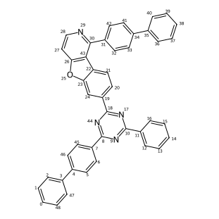 c1ccc(-c2ccc(-c3nc(-c4ccccc4)nc(-c4ccc5c(c4)oc4ccnc(-c6ccc(-c7ccccc7)cc6)c45)n3)cc2)cc1